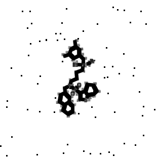 CC[N+](CBr)(CCCCN(Cc1ccc2ccccc2c1)S(=O)(=O)c1csc2ccccc12)Cc1cc(C)cc(C)c1